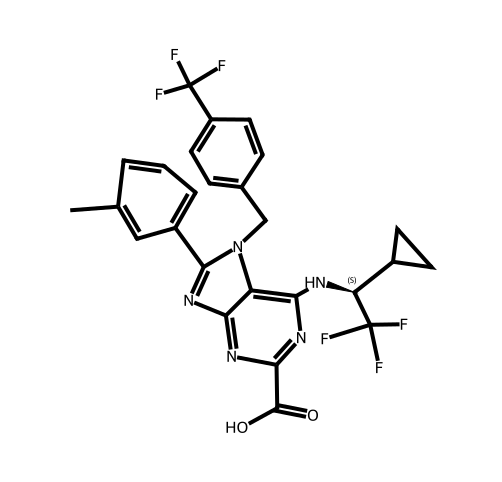 Cc1cccc(-c2nc3nc(C(=O)O)nc(N[C@@H](C4CC4)C(F)(F)F)c3n2Cc2ccc(C(F)(F)F)cc2)c1